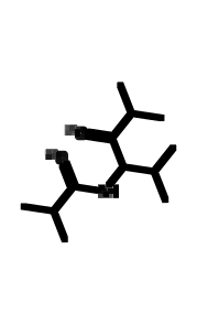 CC(C)C(=[18O])NC(C(=[18O])C(C)C)C(C)C